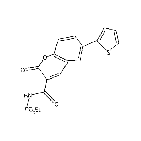 CCOC(=O)NC(=O)c1cc2cc(-c3cccs3)ccc2oc1=O